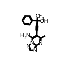 Cc1nc2ncnn2c(N)c1C#CC(O)(c1ccccc1)C(F)(F)F